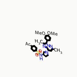 COc1ccc(-c2c(C)nc3c(N4CC[C@@H](NS(=O)(=O)c5ccc(C(C)=O)cc5)C4)cc(C)nn23)cc1OC